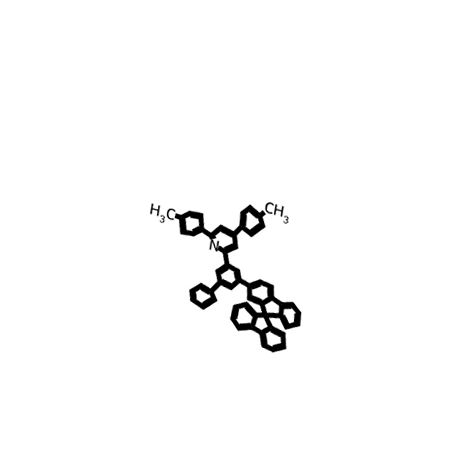 Cc1ccc(-c2cc(-c3ccc(C)cc3)nc(-c3cc(-c4ccccc4)cc(-c4ccc5c(c4)C4(c6ccccc6-c6ccccc64)c4ccccc4-5)c3)c2)cc1